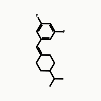 CC(C)C1CCC(=Cc2cc(F)cc(F)c2)CC1